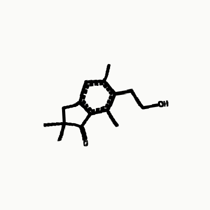 Cc1cc2c(c(C)c1CCO)C(=O)C(C)(C)C2